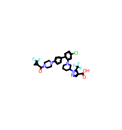 O=C(O)c1cnn(C2CCCN(c3cc(Cl)ccc3-c3ccc(N4CCN(C(=O)C5CC5(F)F)CC4)cc3)C2)c1C(F)(F)F